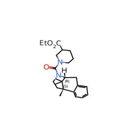 CCOC(=O)C1CCCN(C(=O)N2CC[C@@]3(C)c4ccccc4C[C@@H]2C3(C)C)C1